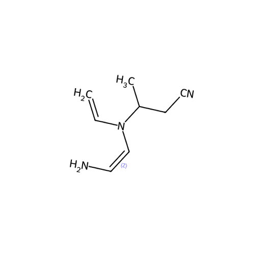 C=CN(/C=C\N)C(C)CC#N